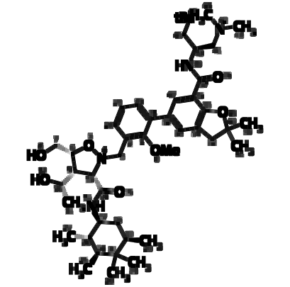 COc1c(CN2O[C@@H](CO)[C@@H]([C@H](C)O)[C@H]2C(=O)N[C@H]2C[C@@H](C)C(C)(C)[C@@H](C)[C@@H]2C)cccc1-c1cc2c(c(C(=O)N[C@H](CN(C)C)CC(C)(C)C)c1)OC(C)(C)C2